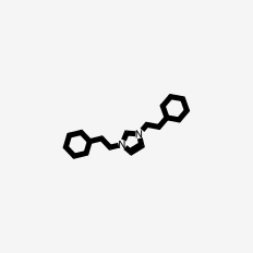 C1=CN(CCC2CCCCC2)CN1CCC1CCCCC1